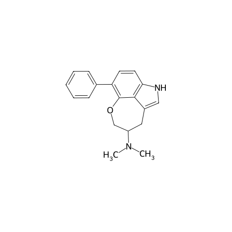 CN(C)C1COc2c(-c3ccccc3)ccc3[nH]cc(c23)C1